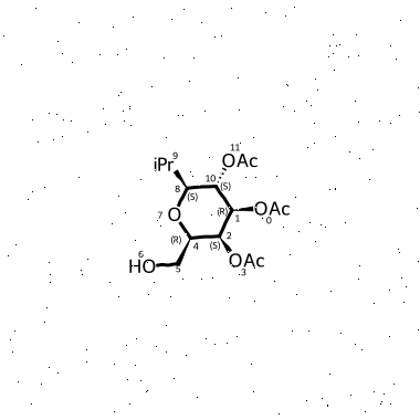 CC(=O)O[C@H]1[C@@H](OC(C)=O)[C@@H](CO)O[C@@H](C(C)C)[C@@H]1OC(C)=O